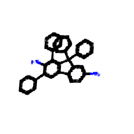 Nc1ccc2c(c1)C(c1ccccc1)(c1ccccc1)c1c-2cc(-c2ccccc2)c(N)c1-c1ccccc1